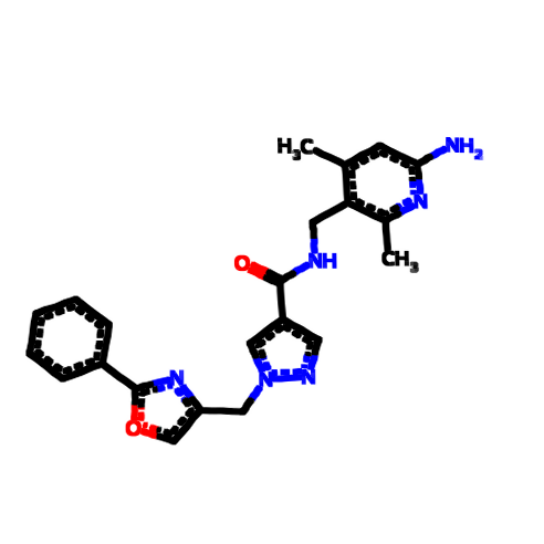 Cc1cc(N)nc(C)c1CNC(=O)c1cnn(Cc2coc(-c3ccccc3)n2)c1